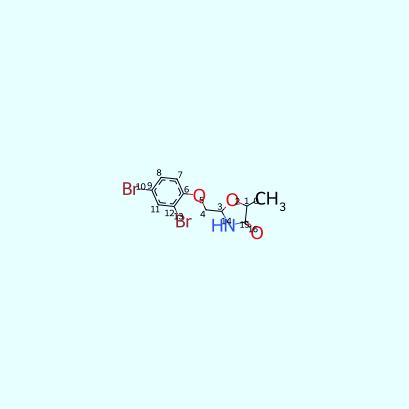 CC1OC(COc2ccc(Br)cc2Br)NC1=O